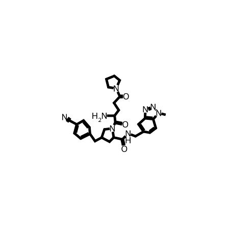 Cn1nnc2cc(CNC(=O)C3CC(Cc4ccc(C#N)cc4)CN3C(=O)C(N)CCC(=O)N3CCCC3)ccc21